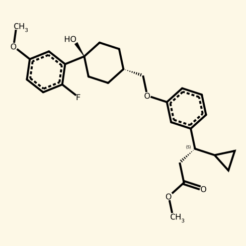 COC(=O)C[C@H](c1cccc(OC[C@H]2CC[C@@](O)(c3cc(OC)ccc3F)CC2)c1)C1CC1